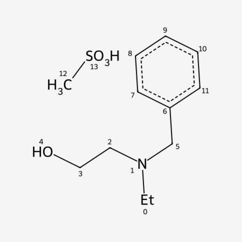 CCN(CCO)Cc1ccccc1.CS(=O)(=O)O